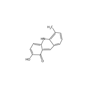 Cc1cccc2cc3c(=O)c(O)ccc-3[nH]c12